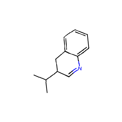 CC(C)C1C=Nc2ccccc2C1